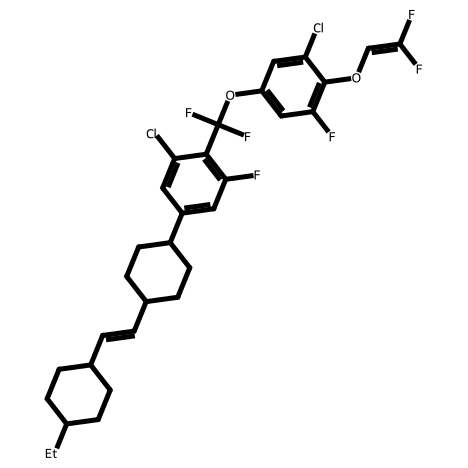 CCC1CCC(/C=C/C2CCC(c3cc(F)c(C(F)(F)Oc4cc(F)c(OC=C(F)F)c(Cl)c4)c(Cl)c3)CC2)CC1